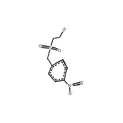 [O]CCS(=O)(=O)Cc1ccc([N+](=O)[O-])cc1